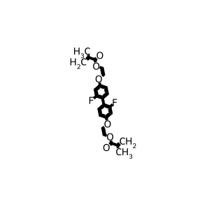 C=C(C)C(=O)O/C=C\Oc1ccc(-c2ccc(O/C=C\OC(=O)C(=C)C)cc2F)c(F)c1